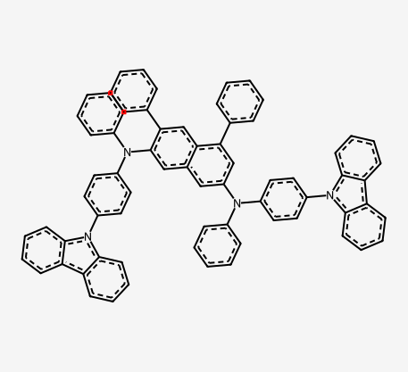 c1ccc(-c2cc3c(-c4ccccc4)cc(N(c4ccccc4)c4ccc(-n5c6ccccc6c6ccccc65)cc4)cc3cc2N(c2ccccc2)c2ccc(-n3c4ccccc4c4ccccc43)cc2)cc1